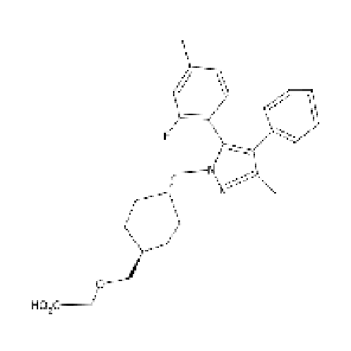 Cc1ccc(-c2c(-c3ccccc3)c(C)nn2C[C@H]2CC[C@H](COCC(=O)O)CC2)c(F)c1